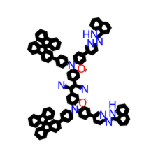 COc1cc(/C(C#N)=C(\C#N)c2ccc(N(c3ccc(-c4ccc(/N=C5\Nc6cccc7cccc5c67)nc4)cc3)c3ccc(-c4ccc5c(c4)C4(c6ccccc6-c6ccccc64)c4ccccc4-5)cc3)c(OC)c2)ccc1N(c1ccc(-c2ccc(/N=C3\Nc4cccc5cccc3c45)nc2)cc1)c1ccc(-c2ccc3c(c2)C2(c4ccccc4-c4ccccc42)c2ccccc2-3)cc1